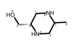 CC1CN[C@H](CO)CN1